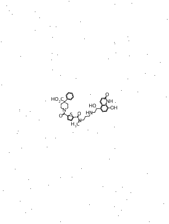 CN(CCCNC[C@H](O)c1ccc(O)c2[nH]c(=O)ccc12)C(=O)c1ccc(C(=O)N2CCC(C(=O)O)(c3ccccc3)CC2)s1